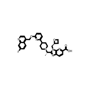 C[C@@H](c1nc2ccc(C(=O)O)nc2n1C[C@@H]1CCO1)N1CCC(c2cccc(OCc3ccnc4cc(F)ccc34)n2)CC1